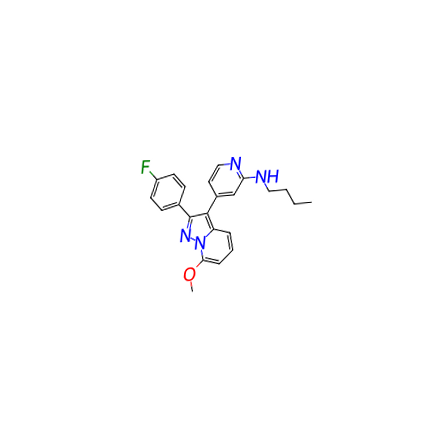 CCCCNc1cc(-c2c(-c3ccc(F)cc3)nn3c(OC)cccc23)ccn1